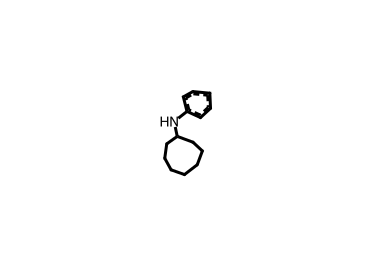 c1ccc(NC2CCCCCCC2)cc1